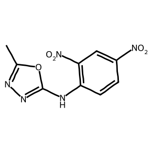 Cc1nnc(Nc2ccc([N+](=O)[O-])cc2[N+](=O)[O-])o1